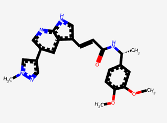 COc1ccc([C@@H](C)NC(=O)/C=C/c2c[nH]c3ncc(-c4cnn(C)c4)cc23)cc1OC